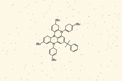 CC(C)(C)C1=CCC2B3C4=C(CC(C(C)(C)C)C=C4)N(C4=CC=C(C(C)(C)C)CC4)c4cc(C(C)(C)c5ccccc5)cc(c43)N(C3C=CC(C(C)(C)C)=CC3)C2=C1